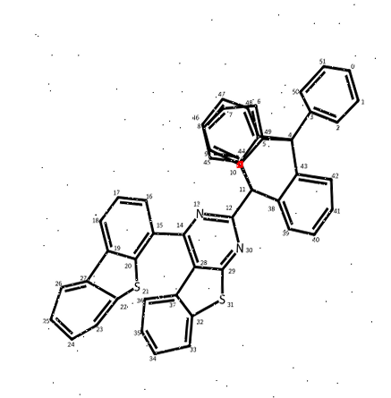 c1ccc(C23c4ccccc4C(c4nc(-c5cccc6c5sc5ccccc56)c5c(n4)sc4ccccc45)(c4ccccc42)c2ccccc23)cc1